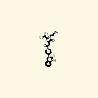 CCC(CC)C1SC(CC(=O)N2CCC(N3Cc4ccccc4NC3=O)CC2)C(=O)N1CCC(C)C